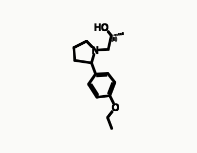 CCOc1ccc(C2CCCN2C[C@@H](C)O)cc1